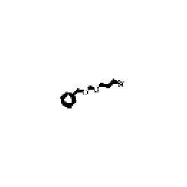 BrCCCOCOCc1ccccc1